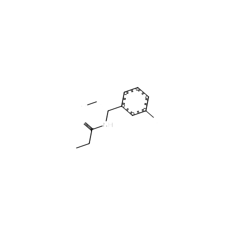 CCC(=O)N[C@H](CO)c1cccc(Cl)c1